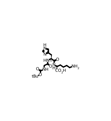 CC(C)(C)OC(=O)NCC(=O)N[C@@H](Cc1c[nH]cn1)C(=O)N[C@@H](CCCCN)C(=O)O